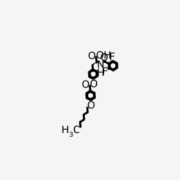 CCCCCCCOc1ccc(C(=O)Oc2ccc(C[C@H](NC(=O)c3c(F)cccc3F)C(=O)O)cc2)cc1